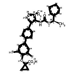 C[C@@H](OC(=O)Nc1c(-c2ccc(-c3cc(F)c(OC4(C(=O)O)CC4)c(F)c3)cc2)nnn1C)c1ccccc1